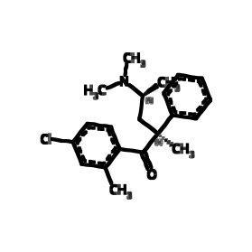 Cc1cc(Cl)ccc1C(=O)[C@@](C)(C[C@H](C)N(C)C)c1ccccc1